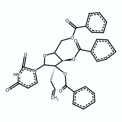 C=CC[C@]1(OC(=O)c2ccccc2)C(n2ccc(=O)[nH]c2=O)OC(COC(=O)c2ccccc2)[C@H]1OC(=O)c1ccccc1